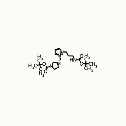 CC(C)(C)OC(=O)NCCCn1ccc[n+]1C[C@@H]1CCN(C(=O)OC(C)(C)C)C1